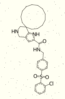 O=C(NCc1ccc(S(=O)(=O)c2ccccc2Cl)cc1)c1cc2c([nH]1)C1(CCCCCCCCCCCC1)CNC2